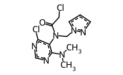 CN(C)c1ncnc(Cl)c1N(Cn1cccn1)C(=O)CCl